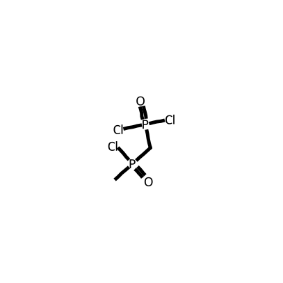 CP(=O)(Cl)CP(=O)(Cl)Cl